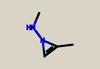 CNN1C=C1C